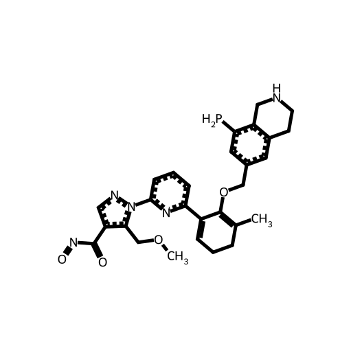 COCc1c(C(=O)N=O)cnn1-c1cccc(C2=CCCC(C)=C2OCc2cc(P)c3c(c2)CCNC3)n1